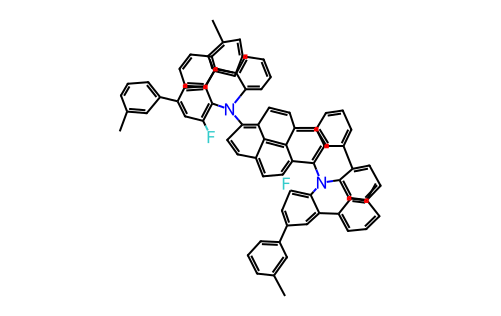 Cc1cccc(-c2cc(F)c(N(c3ccccc3-c3ccccc3)c3ccc4ccc5c(N(c6ccccc6-c6ccccc6)c6c(F)cc(-c7cccc(C)c7)cc6-c6cccc(C)c6)ccc6ccc3c4c65)c(-c3cccc(C)c3)c2)c1